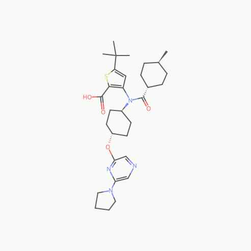 CC(C)(C)c1cc(N(C(=O)[C@H]2CC[C@H](C)CC2)[C@H]2CC[C@H](Oc3cncc(N4CCCC4)n3)CC2)c(C(=O)O)s1